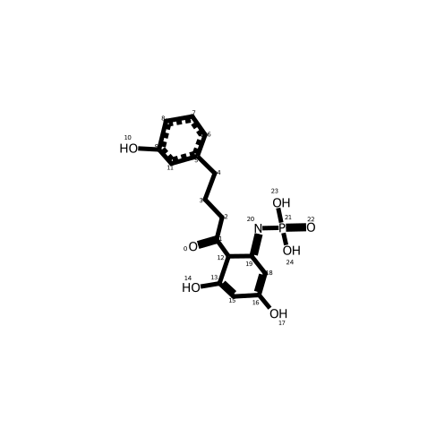 O=C(CCCc1cccc(O)c1)C1C(O)=CC(O)=CC1=NP(=O)(O)O